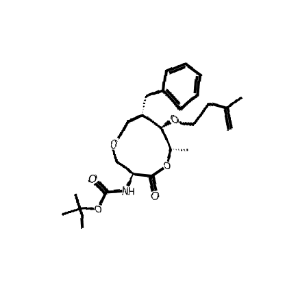 C=C(C)CCO[C@@H]1[C@@H](Cc2ccccc2)COC[C@H](NC(=O)OC(C)(C)C)C(=O)O[C@H]1C